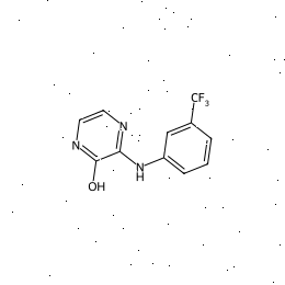 Oc1nccnc1Nc1cccc(C(F)(F)F)c1